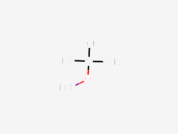 C[Si](C)(C)OP